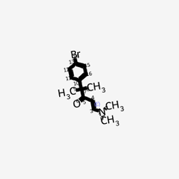 CN(C)/C=C/C(=O)C(C)(C)c1ccc(Br)cc1